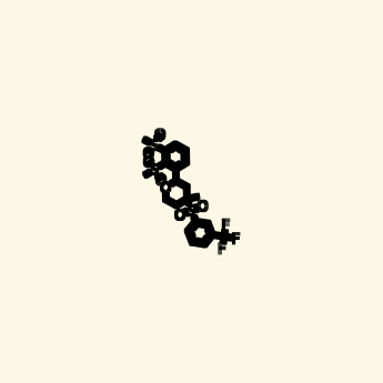 CC1(S(=O)(=O)c2cccc(C(F)(F)F)c2)CCOC(c2cccc(S(C)(=O)=O)c2S(C)(=O)=O)C1